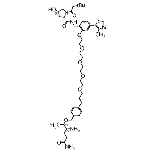 Cc1ncsc1-c1ccc(CNC(=O)[C@@H]2C[C@@H](O)CN2C(=O)CC(C)(C)C)c(OCCOCCOCCOCCOCCCc2ccc(CO[C@H](C)[C@@H](N)CCC(N)=O)cc2)c1